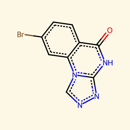 O=c1[nH]c2nncn2c2cc(Br)ccc12